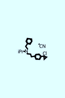 CC#N.CC(C)N(CCCc1ccc(C2(Cl)CC2)cc1)CCc1ccccc1